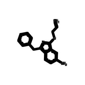 C=CCOc1nn(Cc2ccccc2)c2ccc(N)cc12